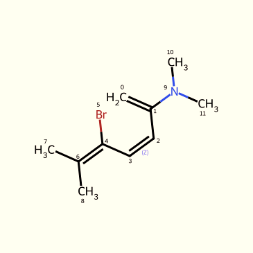 C=C(/C=C\C(Br)=C(C)C)N(C)C